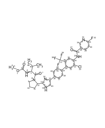 COC(=O)N[C@H](C(=O)N1CCCC1c1nc(-c2ccc(-c3cc(Cl)c(NC(=O)c4ccc(F)nc4)cc3C(F)(F)F)cc2)c[nH]1)C(C)C